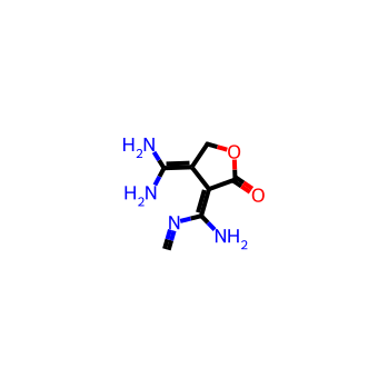 C=N/C(N)=C1/C(=O)OCC1=C(N)N